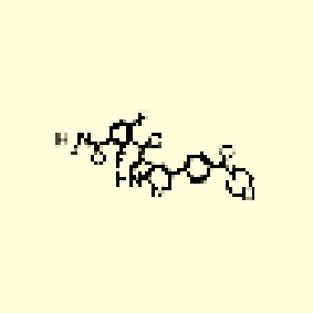 NC(=O)c1ccc(F)c(C(=O)c2c[nH]c3ncc(-c4ccc(C(=O)N5CCOCC5)cc4)cc23)c1F